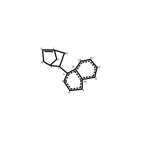 C1=C2CC(C1)C(c1cccc3ccccc13)C2